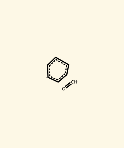 [CH]=O.[c]1ccccc1